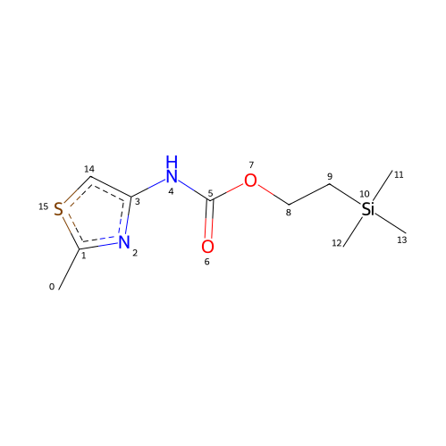 Cc1nc(NC(=O)OCC[Si](C)(C)C)cs1